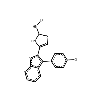 CCNC1NC(c2sc3ncccc3c2-c2ccc(Cl)cc2)=CS1